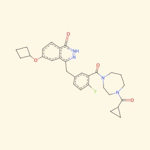 O=C(c1cc(Cc2n[nH]c(=O)c3ccc(OC4CCC4)cc23)ccc1F)N1CCCN(C(=O)C2CC2)CC1